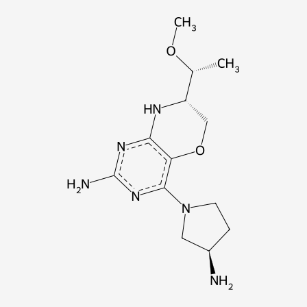 CO[C@H](C)[C@@H]1COc2c(nc(N)nc2N2CC[C@@H](N)C2)N1